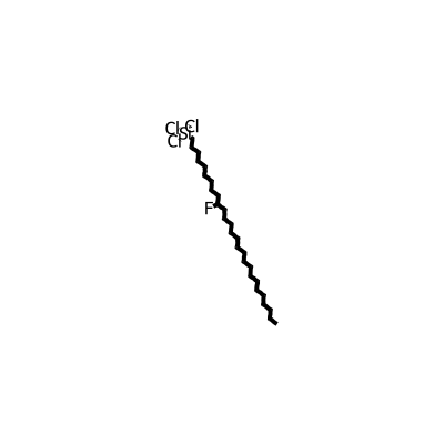 CCCCCCCCCCCCCCCCCC(F)CCCCCCCCC[Si](Cl)(Cl)Cl